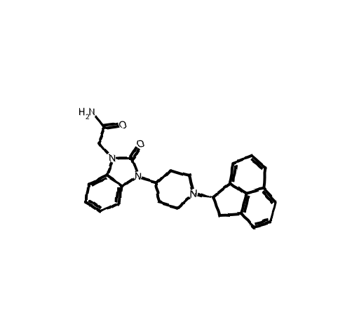 NC(=O)Cn1c(=O)n(C2CCN([C@@H]3Cc4cccc5cccc3c45)CC2)c2ccccc21